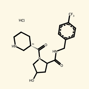 Cl.O=C(NCc1ccc(C(F)(F)F)cc1)C1CC(O)CN1C(=O)[C@H]1CCCNC1